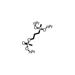 CCCO[Si](C)(CCCOP(C)(=O)OCCC)OCCC